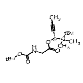 CC#C[C@@H](OC(=O)CNC(=O)OC(C)(C)C)[Si](C)(C)C(C)(C)C